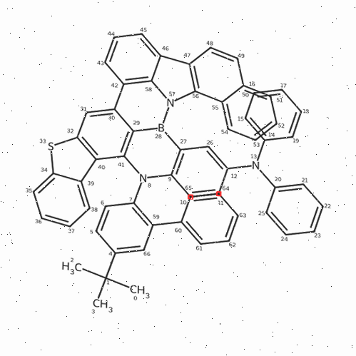 CC(C)(C)c1ccc(N2c3ccc(N(c4ccccc4)c4ccccc4)cc3B3c4c(cc5sc6ccccc6c5c42)-c2cccc4c5ccc6ccccc6c5n3c24)c(-c2ccccc2)c1